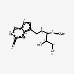 CSCC(NCc1cnc2c[nH]c(=O)[nH]c1-2)C(O)CO